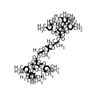 CCC(OC(=O)OC1CC(C)(C)NC(C)(C)C1)C(OC(=O)OC1CC(C)(C)NC(C)(C)C1)(OC(=O)OC1CC(C)(C)NC(C)(C)C1)C(=O)OCC(C)(C)C1OCC2(CO1)COC(C(C)(C)COC(=O)C(OC(=O)OC1CC(C)(C)NC(C)(C)C1)(OC(=O)OC1CC(C)(C)NC(C)(C)C1)C(CC)OC(=O)OC1CC(C)(C)NC(C)(C)C1)OC2